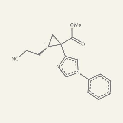 COC(=O)C1(c2cn(-c3ccccc3)cn2)C[C@@H]1CCC#N